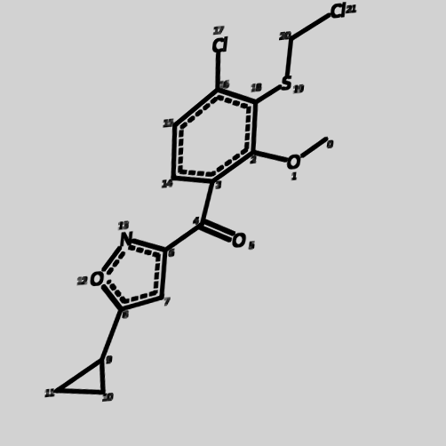 COc1c(C(=O)c2cc(C3CC3)on2)ccc(Cl)c1SCCl